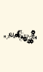 Cc1c(-c2ccc(N3CCc4cccc(C(=O)Nc5nc6ccccc6s5)c4C3)nc2C(=O)O)cnn1CC12CC(OCCN(C)C)C=C1C(C)(CC(C)C)C2